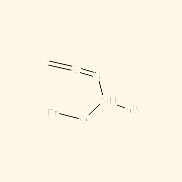 CCC[SiH](N=C=O)OCC